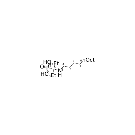 CCCCCCCCCCCCNC(CC)(CC)P(=O)(O)O